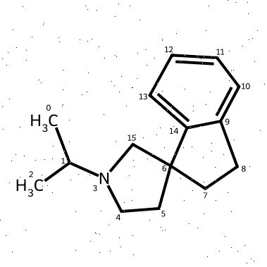 CC(C)N1CCC2(CCc3ccccc32)C1